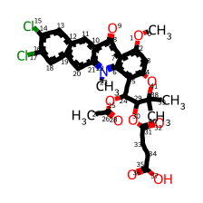 COc1cc2c(c3c1c(=O)c1cc4cc(Cl)c(Cl)cc4cc1n3C)C(OC(C)=O)C(OC(=O)CCC(=O)O)C(C)(C)O2